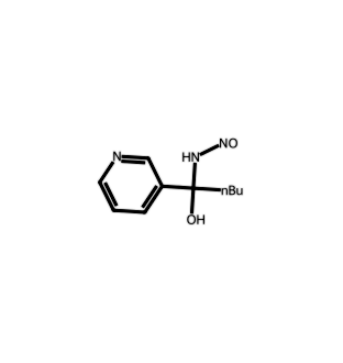 CCCCC(O)(NN=O)c1cccnc1